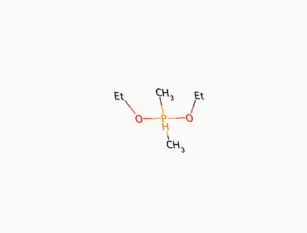 CCO[PH](C)(C)OCC